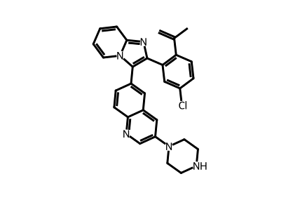 C=C(C)c1ccc(Cl)cc1-c1nc2ccccn2c1-c1ccc2ncc(N3CCNCC3)cc2c1